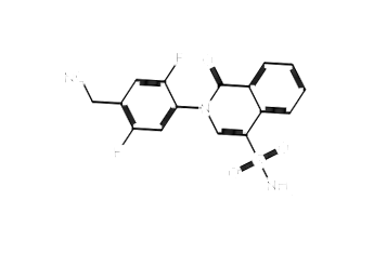 N#CCc1cc(F)c(-n2cc(S(N)(=O)=O)c3ccccc3c2=O)cc1F